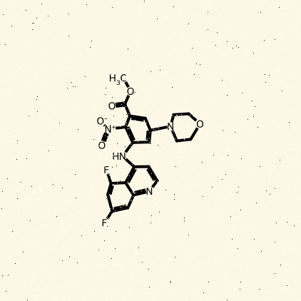 COC(=O)c1cc(N2CCOCC2)cc(Nc2ccnc3cc(F)cc(F)c23)c1[N+](=O)[O-]